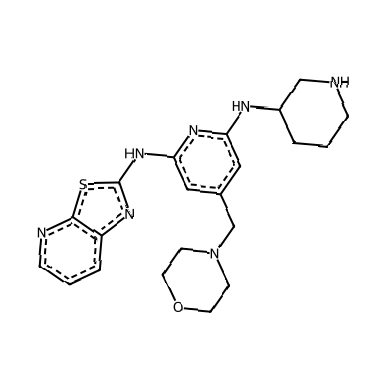 c1cnc2sc(Nc3cc(CN4CCOCC4)cc(NC4CCCNC4)n3)nc2c1